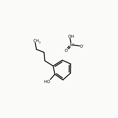 CCCCc1ccccc1O.O=[N+]([O-])O